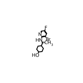 C[C@@H](Nc1ncc(F)cc1Br)C1CCC(O)CC1